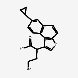 CC(=O)CCC(C(=O)C(C)C)c1coc2ccc3cc(C4CC4)ccc3c12